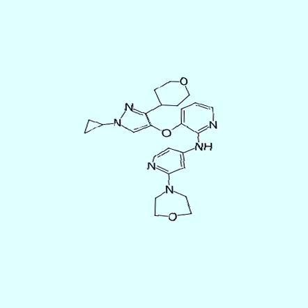 c1cnc(Nc2ccnc(N3CCOCC3)c2)c(Oc2cn(C3CC3)nc2C2CCOCC2)c1